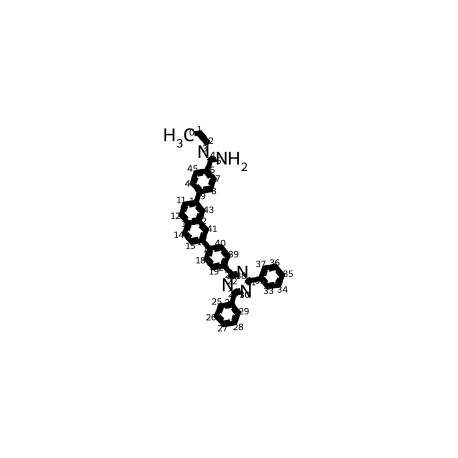 C/C=C\N=C(/N)c1ccc(-c2ccc3ccc(-c4ccc(-c5nc(-c6ccccc6)nc(-c6ccccc6)n5)cc4)cc3c2)cc1